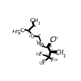 C=C(C(=O)NCOC(C)CC)C(F)(F)F